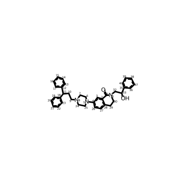 O=C1c2cc(N3CCN(CCC(c4ccccc4)c4ccccc4)CC3)ccc2CCN1CC(O)c1ccccc1